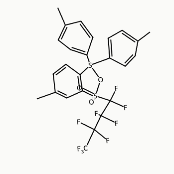 Cc1ccc(S(OS(=O)(=O)C(F)(F)C(F)(F)C(F)(F)C(F)(F)F)(c2ccc(C)cc2)c2ccc(C)cc2)cc1